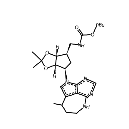 CCCCOC(=O)NC[C@H]1C[C@@H](n2cc3c4c(ncnc42)NCCC3C)[C@@H]2OC(C)(C)O[C@H]12